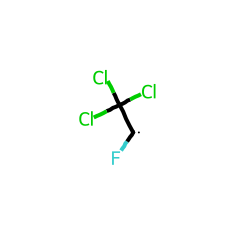 F[CH]C(Cl)(Cl)Cl